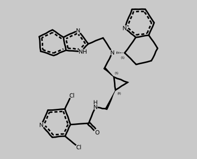 O=C(NC[C@@H]1C[C@@H]1CN(Cc1nc2ccccc2[nH]1)[C@H]1CCCc2cccnc21)c1c(Cl)cncc1Cl